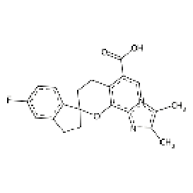 Cc1nc2c3c(c(C(=O)O)cn2c1C)CCC1(CCc2cc(F)ccc21)O3